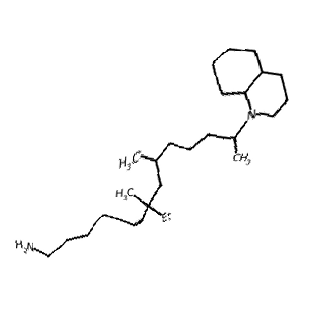 CCC(C)(CCCCCN)CC(C)CCCC(C)N1CCCC2CCCCC21